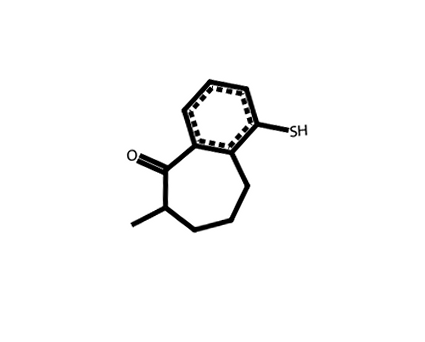 CC1CCCc2c(S)cccc2C1=O